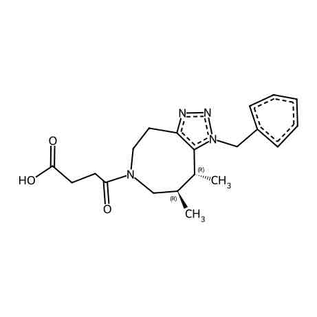 C[C@H]1CN(C(=O)CCC(=O)O)CCc2nnn(Cc3ccccc3)c2[C@@H]1C